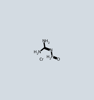 NC(N)=N[PH2]=O.[Cr]